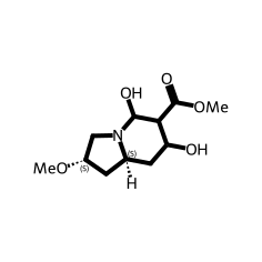 COC(=O)C1C(O)C[C@H]2C[C@H](OC)CN2C1O